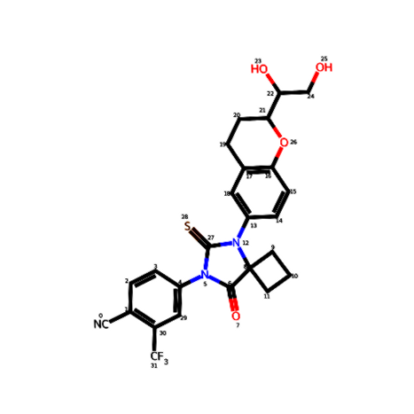 N#Cc1ccc(N2C(=O)C3(CCC3)N(c3ccc4c(c3)CCC(C(O)CO)O4)C2=S)cc1C(F)(F)F